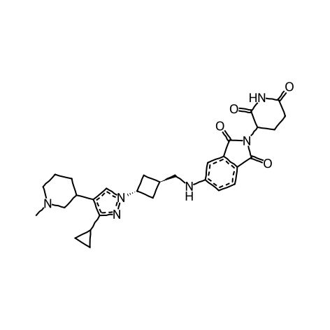 CN1CCCC(c2cn([C@H]3C[C@H](CNc4ccc5c(c4)C(=O)N(C4CCC(=O)NC4=O)C5=O)C3)nc2C2CC2)C1